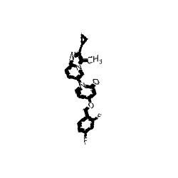 Cc1c(C2CC2)nc2ccc(-n3ccc(OCc4ccc(F)cc4F)cc3=O)cn12